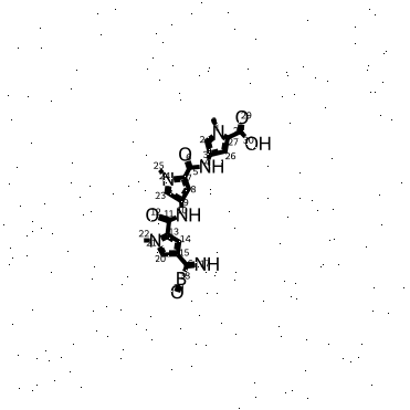 Cn1cc(NC(=O)c2cc(NC(=O)c3cc(C(=N)B=O)cn3C)cn2C)cc1C(=O)O